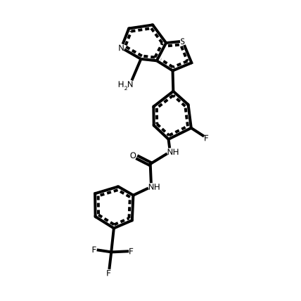 Nc1nccc2scc(-c3ccc(NC(=O)Nc4cccc(C(F)(F)F)c4)c(F)c3)c12